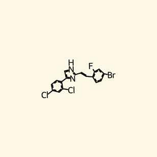 Fc1cc(Br)ccc1/C=C/c1nc(-c2ccc(Cl)cc2Cl)c[nH]1